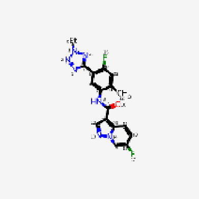 CCn1nnc(-c2cc(NC(=O)c3cnn4cc(F)ccc34)c(C)cc2F)n1